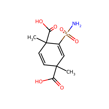 CC1(C(=O)O)C=CC(C)(C(=O)O)C(S(N)(=O)=O)=C1